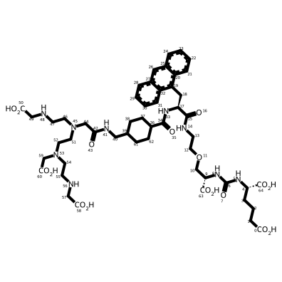 O=C(O)CCC[C@H](NC(=O)N[C@@H](COCCNC(=O)[C@H](Cc1c2ccccc2cc2ccccc12)NC(=O)C1CCC(CNC(=O)CN(CCNCC(=O)O)CCN(CCNCC(=O)O)CC(=O)O)CC1)C(=O)O)C(=O)O